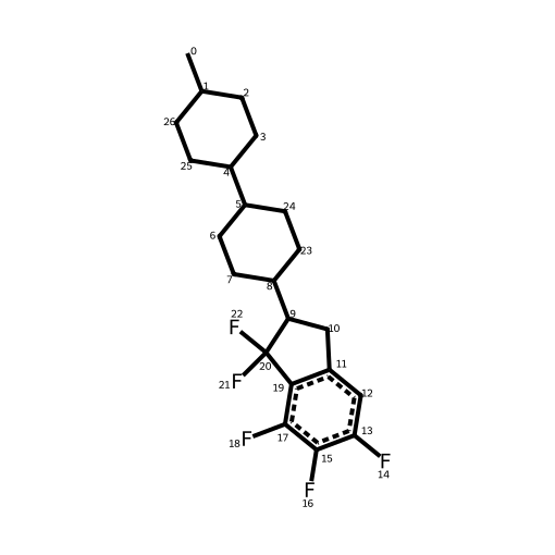 CC1CCC(C2CCC(C3Cc4cc(F)c(F)c(F)c4C3(F)F)CC2)CC1